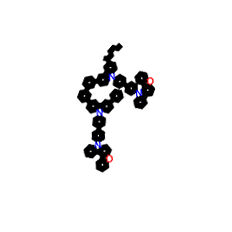 C=C/C=C\C=C(/C)c1ccc2c(c1)c1cc(-c3cccc(-c4cccc(-c5ccc6c(c5)c5cc(-c7ccccc7)ccc5n6-c5ccc(-c6ccc(-n7c8ccccc8c8c9c(ccc87)oc7ccccc79)cc6)cc5)c4)c3)ccc1n2-c1ccc(-c2ccc(-n3c4ccccc4c4ccc5oc6ccccc6c5c43)cc2)cc1